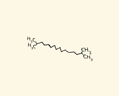 CC(C)CCCCCCCCCCCCC(C)C